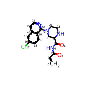 C=CC(=O)NC(=O)C1CN(c2nccc3cc(Cl)ccc23)CCN1